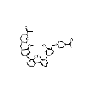 COc1cc(-c2nccc(-c3cccc(-c4ccc(CN5CCN(C(C)=O)CC5)c(OC)n4)c3Cl)c2Cl)ccc1CN1CCN(C(C)=O)CC1